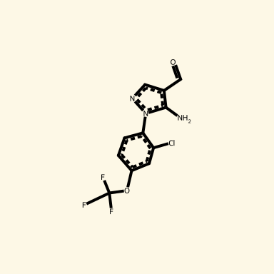 Nc1c(C=O)cnn1-c1ccc(OC(F)(F)F)cc1Cl